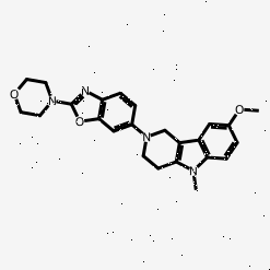 COc1ccc2c(c1)c1c(n2C)CCN(c2ccc3nc(N4CCOCC4)oc3c2)C1